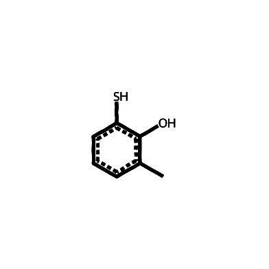 Cc1cccc(S)c1O